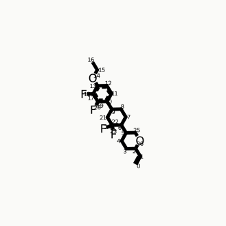 C=CC1CCC(C2CCC(c3ccc(OCC)c(F)c3F)CC2(F)F)CO1